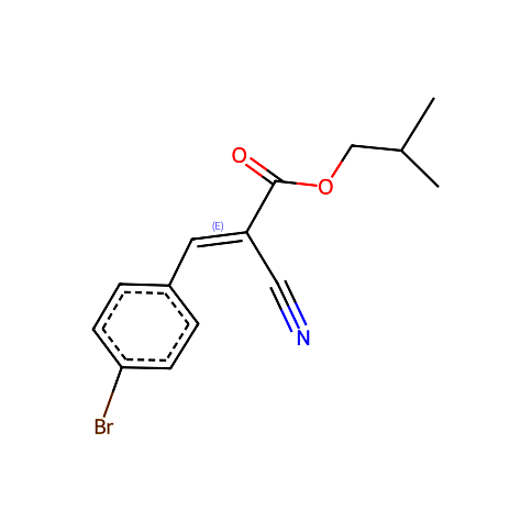 CC(C)COC(=O)/C(C#N)=C/c1ccc(Br)cc1